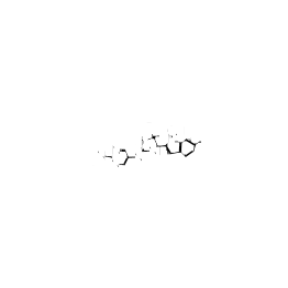 Cn1c(C(NC(=O)Nc2cnc(N)nc2)C(F)(F)F)cc2ccc(F)cc21